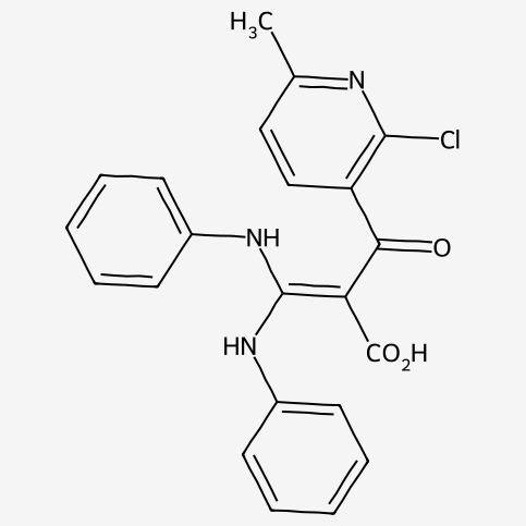 Cc1ccc(C(=O)C(C(=O)O)=C(Nc2ccccc2)Nc2ccccc2)c(Cl)n1